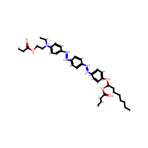 CCCCCCCC(OC(=O)CCC)Oc1ccc(/N=N/c2ccc(/N=N/c3ccc(N(CC)CCOC(=O)CC)cc3)cc2)cc1